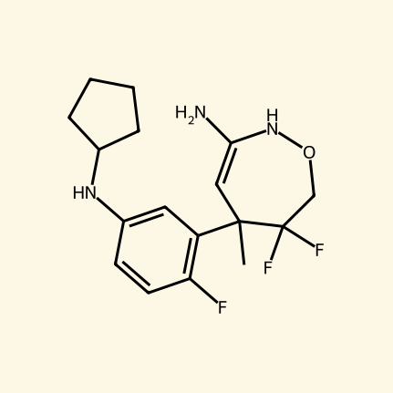 CC1(c2cc(NC3CCCC3)ccc2F)C=C(N)NOCC1(F)F